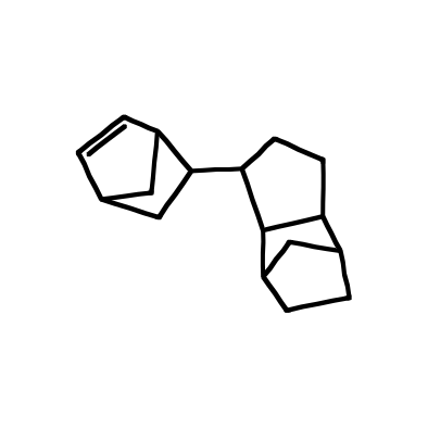 C1=CC2CC1CC2C1CCC2C3CCC(C3)C21